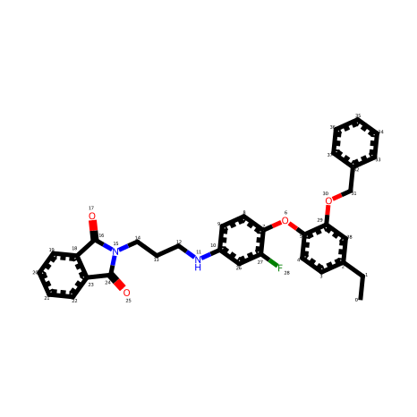 CCc1ccc(Oc2ccc(NCCCN3C(=O)c4ccccc4C3=O)cc2F)c(OCc2ccccc2)c1